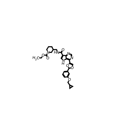 CCOC(=O)N1CCCC(CNC(=O)c2c[nH]c3c(C4=COC(c5cccc(OCC6CC6)c5)O4)ncnc23)C1